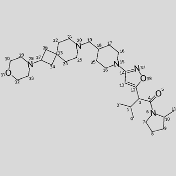 CC(C)C(C(=O)N1CCCC1C)c1cc(N2CCC(CN3CCC4(CC3)CC(N3CCOCC3)C4)CC2)no1